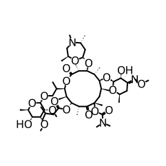 CO/N=C1\C[C@@H](C)O[C@@H](O[C@@H]2[C@@H](C)[C@H](O[C@H]3C[C@@H](C)N(C)C[C@H](C)O3)[C@@H](C)C(=O)O[C@H](C(C)CO[C@@H]3O[C@H](C)[C@@H](O)[C@@H](OC)[C@H]3OC)[C@H](C)[C@@H](OC(=O)CC(C)C)[C@@H](C)C(=O)[C@@](C)(OC(=O)N(C)C)C[C@@H]2C)[C@@H]1O